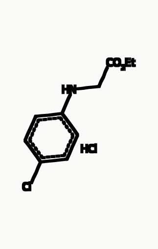 CCOC(=O)CNc1ccc(Cl)cc1.Cl